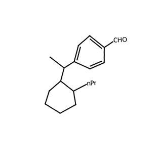 CCCC1CCCCC1C(C)c1ccc(C=O)cc1